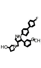 COc1cccc(-c2c(CN3CCC(O)C3)cnn2-c2ccc(-c3ccc(F)cc3)cc2)c1